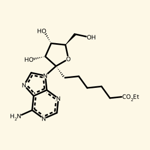 CCOC(=O)CCCCC[C@@]1(n2cnc3c(N)ncnc32)O[C@H](CO)[C@@H](O)[C@H]1O